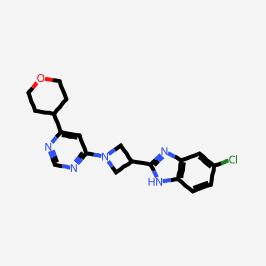 Clc1ccc2[nH]c(C3CN(c4cc(C5CCOCC5)ncn4)C3)nc2c1